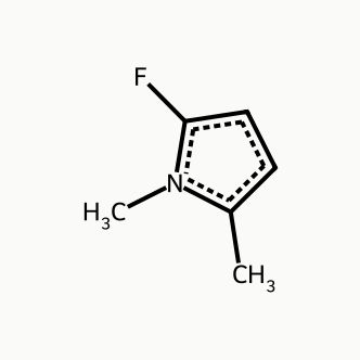 Cc1ccc(F)n1C